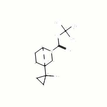 CC(C)(C)OC(=O)N1CC2(C3(O)CC3)CCC1CC2